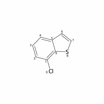 Clc1cccc2[c]csc12